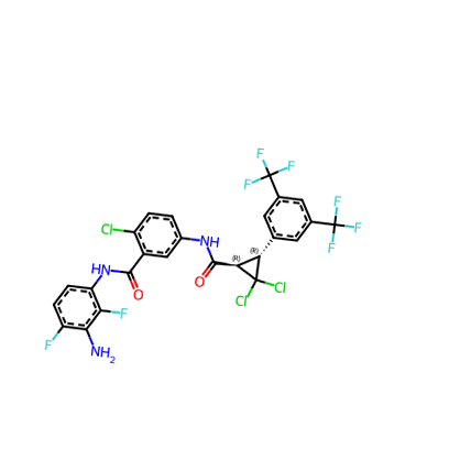 Nc1c(F)ccc(NC(=O)c2cc(NC(=O)[C@H]3[C@H](c4cc(C(F)(F)F)cc(C(F)(F)F)c4)C3(Cl)Cl)ccc2Cl)c1F